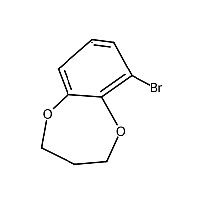 Brc1c[c]cc2c1OCCCO2